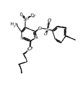 CCCCOc1nc(N)c([N+](=O)[O-])c(OS(=O)(=O)c2ccc(C)cc2)n1